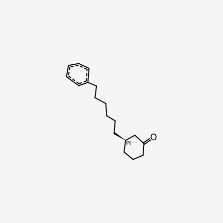 O=C1CCC[C@@H](CCCCCCc2ccccc2)C1